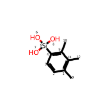 Cc1ccc([Si](O)(O)O)c(C)c1C